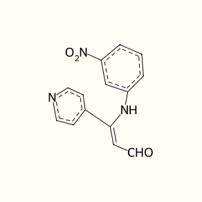 O=C/C=C(\Nc1cccc([N+](=O)[O-])c1)c1ccncc1